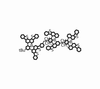 CC(C)(C)c1cc2c3c(c1)-c1cc4c5ccccc5sc4c4c1c(cc1c5cc(CC(C)(C)c6cc7c8c(c6)-c6c9c(cc(C(C)(C)c%10cc%11c%12c(c%10)-c%10cccc%13c%10c(cc%10sc%14ccccc%14c%10%13)B%12c%10cc%12sc%13ccccc%13c%12c%12cccc-%11c%10%12)cc9cc9sc%10ccccc%10c69)B8c6cccc8cc9sc%10ccccc%10c9c-7c68)ccc5sc14)B3c1cc3c4ccccc4sc3c3c1c-2cc1c2ccccc2sc13